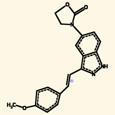 COc1ccc(/C=C/c2n[nH]c3ccc(N4CCOC4=O)cc23)cc1